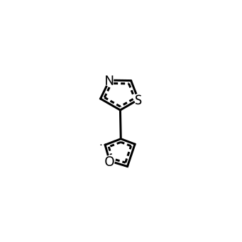 [c]1occc1-c1cncs1